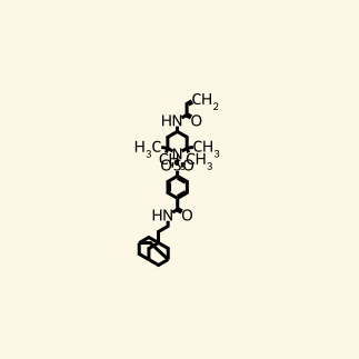 C=CC(=O)NC1CC(C)(C)N(S(=O)(=O)c2ccc(C(=O)NCCC34CC5CC(CC(C5)C3)C4)cc2)C(C)(C)C1